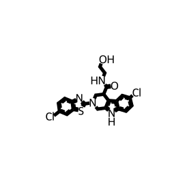 O=C(NCCO)C1CN(c2nc3ccc(Cl)cc3s2)Cc2[nH]c3ccc(Cl)cc3c21